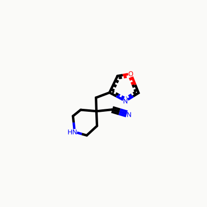 N#CC1(Cc2cocn2)CCNCC1